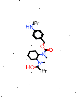 CC(C)Nc1ccc(COC(=O)N(C)C2CCCCC2N(C)C(O)C(C)C)cc1